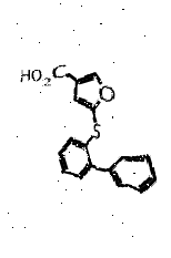 O=C(O)c1coc(Sc2ccccc2-c2ccccc2)c1